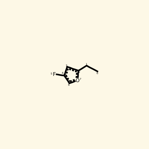 CCc1cc(F)co1